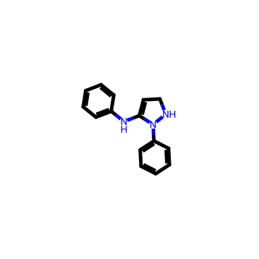 C1=C(Nc2ccccc2)N(c2ccccc2)NC1